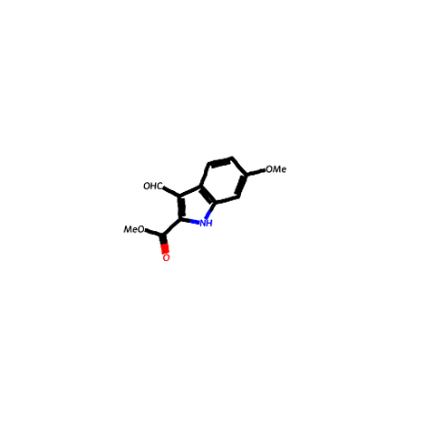 COC(=O)c1[nH]c2cc(OC)ccc2c1C=O